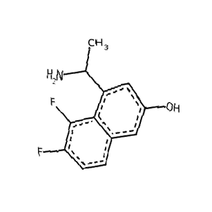 CC(N)c1cc(O)cc2ccc(F)c(F)c12